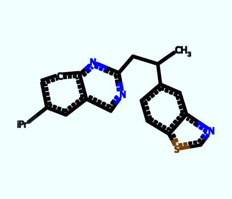 CC(C)c1ccc2nc(CC(C)c3ccc4scnc4c3)ncc2c1